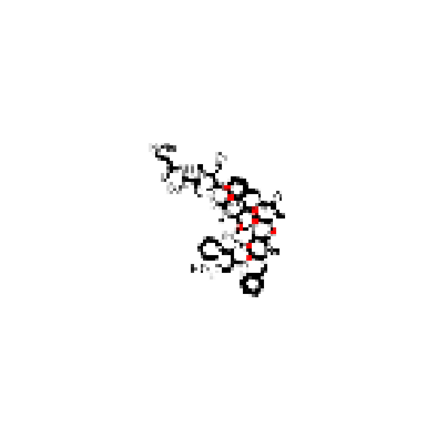 CC[C@H](C)C(NC(=O)CCNC)C(=O)N(C)[C@@H](CC(C)C)C(=O)N(C)[C@@H](C)C(=O)N(C)C(CC(C)C)C(=O)N(C)[C@@H](Cc1ccccc1)C(=O)N(C)[C@@H](C)C(=O)N(C)C(CC(C)C)C(=O)N(C)[C@@H](Cc1ccccc1)C(=O)NC(CC(=O)O)C(=O)N1CCCCC1